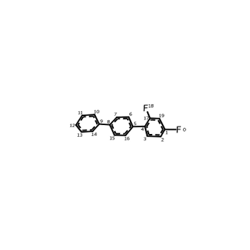 Fc1ccc(-c2ccc(-c3ccccc3)cc2)c(F)c1